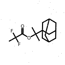 CC(F)(F)C(=O)OC(C)(C)C12CC3CC(CC(C3)C1)C2